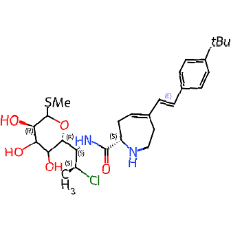 CSC1O[C@H]([C@H](NC(=O)[C@@H]2CC=C(/C=C/c3ccc(C(C)(C)C)cc3)CCN2)[C@H](C)Cl)C(O)C(O)[C@H]1O